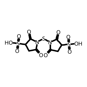 O=C1C[C](S(=O)(=O)O)C(=O)N1SN1C(=O)C[C](S(=O)(=O)O)C1=O